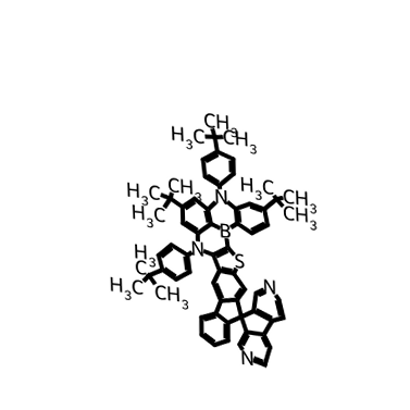 CC(C)(C)c1ccc(N2c3cc(C(C)(C)C)ccc3B3c4sc5cc6c(cc5c4N(c4ccc(C(C)(C)C)cc4)c4cc(C(C)(C)C)cc2c43)-c2ccccc2C62c3cnccc3-c3ccncc32)cc1